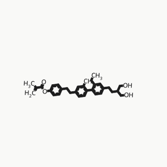 C=C(C)C(=O)Oc1ccc(CCc2ccc(-c3ccc(CCC(CO)CO)cc3CC)c(C)c2)cc1